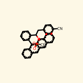 N#Cc1ccc(CC(OS(=O)(=O)C(F)(F)F)c2ccccc2-c2c3ccccc3cc3cc4ccccc4cc23)cc1